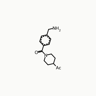 CC(=O)C1CCN(C(=O)c2ccc(CN)cc2)CC1